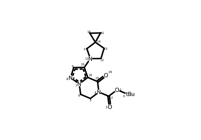 CC(C)(C)OC(=O)N1CCn2ncc(N3CCC4(CC4)C3)c2C1=O